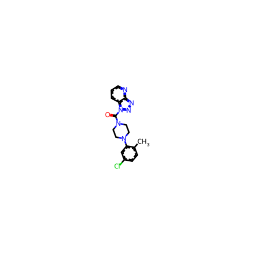 Cc1ccc(Cl)cc1N1CCN(C(=O)n2nnc3ncccc32)CC1